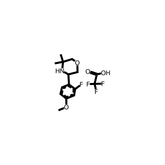 COc1ccc(C2COCC(C)(C)N2)c(F)c1.O=C(O)C(F)(F)F